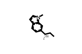 CC[C@H](C)c1ccc2ccn(C)c2c1